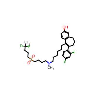 CN(CCCCCCC1=C(c2ccc(F)cc2F)CCCc2cc(O)ccc21)CCCCS(=O)(=O)CCCC(F)(F)C(F)(F)F